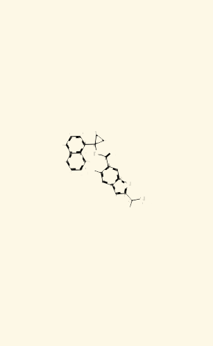 Cc1cc2cc(C(C)N)[nH]c2cc1C(=O)NC1(c2cccc3ccccc23)CC1